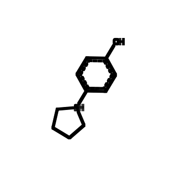 Oc1ccc([SH]2CCCC2)cc1